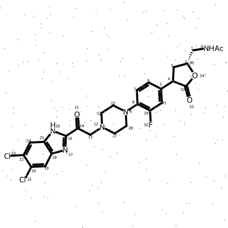 CC(=O)NC[C@H]1CC(c2ccc(N3CCN(CC(=O)c4nc5cc(Cl)c(Cl)cc5[nH]4)CC3)c(F)c2)C(=O)O1